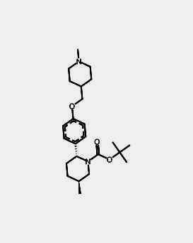 C[C@H]1CC[C@H](c2ccc(OCC3CCN(C)CC3)cc2)N(C(=O)OC(C)(C)C)C1